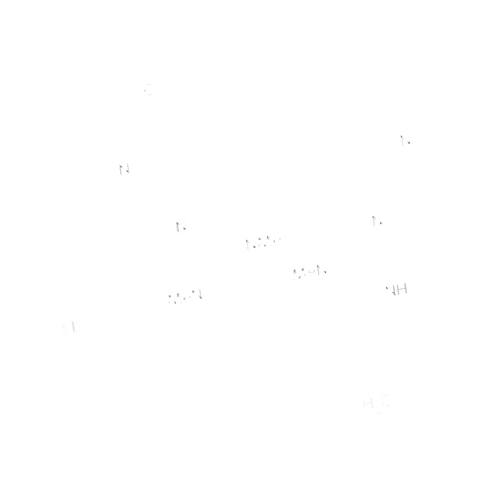 C=CCN/C(=N/c1ccccc1N1CCCC1)NC.CNC(=Nc1cc(Cl)ccc1N1CCOCC1)NC